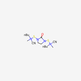 CCCC[N+](C)(C#N)SN1CCN(S[N+](C)(C#N)CCCC)C1=O